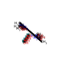 CCCCC(CCCC(CCCCCCCCCCCCCCCCCCC(CCCC(CCCC)C(=O)[C@@H](N)C(C)O)C(=O)[C@@H](N)C(C)O)C(=O)[C@@H](N)C(C)O)C(=O)[C@@H](N)C(C)O.O=C(O)C(F)(F)F.O=C(O)C(F)(F)F.O=C(O)C(F)(F)F.O=C(O)C(F)(F)F